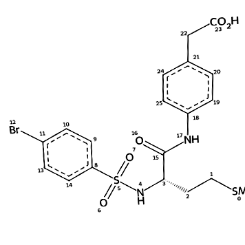 CSCC[C@H](NS(=O)(=O)c1ccc(Br)cc1)C(=O)Nc1ccc(CC(=O)O)cc1